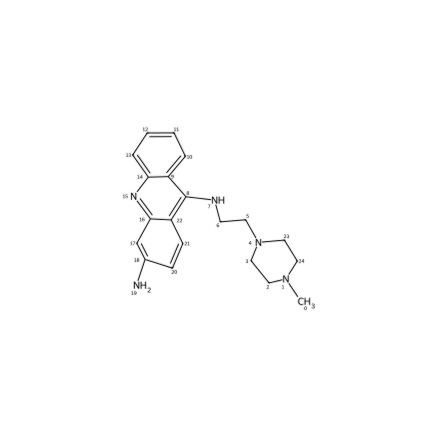 CN1CCN(CCNc2c3ccccc3nc3cc(N)ccc23)CC1